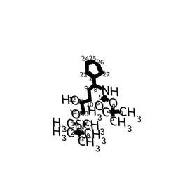 CC(C)(C)OC(=O)NC(CCC(O)CO[Si](C)(C)C(C)(C)C)c1ccccc1